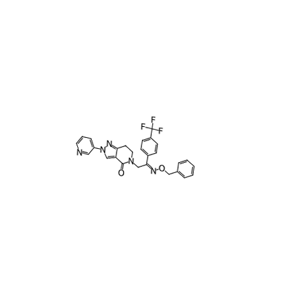 O=C1c2cn(-c3cccnc3)nc2CCN1C/C(=N/OCc1ccccc1)c1ccc(C(F)(F)F)cc1